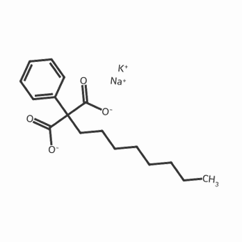 CCCCCCCCC(C(=O)[O-])(C(=O)[O-])c1ccccc1.[K+].[Na+]